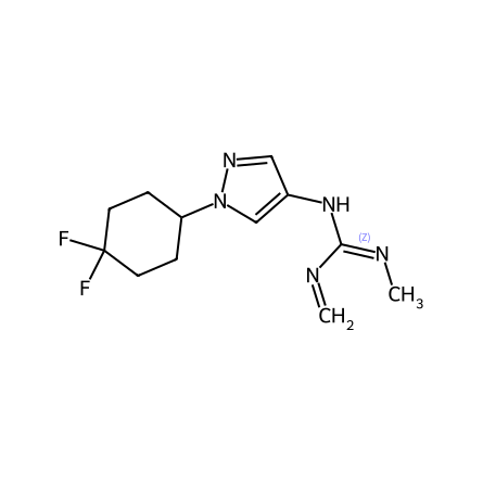 C=N/C(=N\C)Nc1cnn(C2CCC(F)(F)CC2)c1